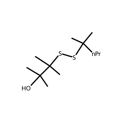 CCCC(C)(C)SSC(C)(C)C(C)(C)O